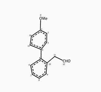 COc1ccc(-c2ccccc2CC=O)cc1